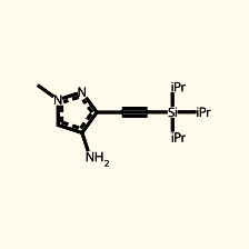 CC(C)[Si](C#Cc1nn(C)cc1N)(C(C)C)C(C)C